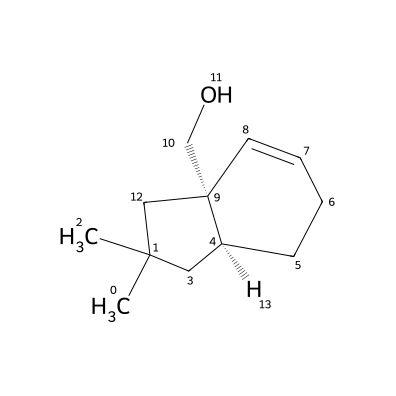 CC1(C)C[C@@H]2CCC=C[C@]2(CO)C1